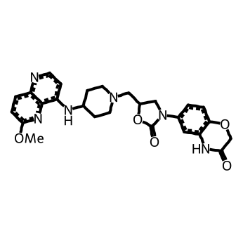 COc1ccc2nccc(NC3CCN(CC4CN(c5ccc6c(c5)NC(=O)CO6)C(=O)O4)CC3)c2n1